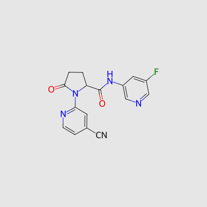 N#Cc1ccnc(N2C(=O)CCC2C(=O)Nc2cncc(F)c2)c1